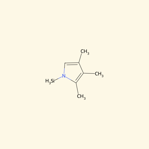 Cc1cn([SiH3])c(C)c1C